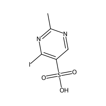 Cc1ncc(S(=O)(=O)O)c(I)n1